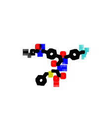 Cc1nc(-c2ccc(-c3oc(-c4ccc(C(F)(F)F)cc4)nc3C(=O)NC(CSCc3ccccc3)C(=O)O)cc2)no1